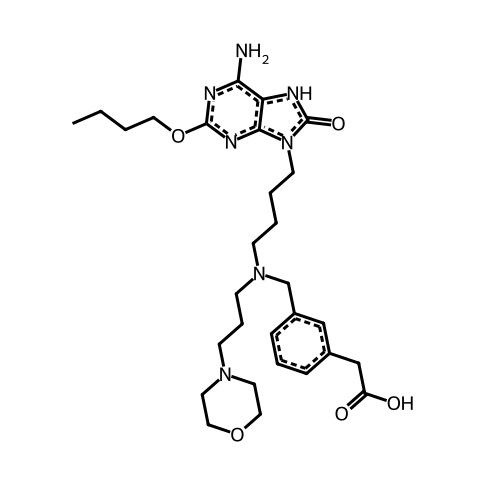 CCCCOc1nc(N)c2[nH]c(=O)n(CCCCN(CCCN3CCOCC3)Cc3cccc(CC(=O)O)c3)c2n1